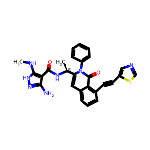 CNc1[nH]nc(N)c1C(=O)N[C@@H](C)c1cc2cccc(C#Cc3cncs3)c2c(=O)n1-c1ccccc1